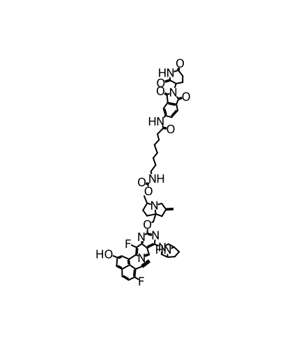 C#Cc1c(F)ccc2cc(O)cc(-c3ncc4c(N5CC6CCC(C5)N6)nc(OCC56CCC(COC(=O)NCCCCCCCC(=O)Nc7ccc8c(c7)C(=O)N(C7CCC(=O)NC7=O)C8=O)N5CC(=C)C6)nc4c3F)c12